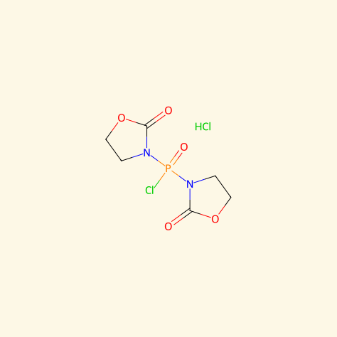 Cl.O=C1OCCN1P(=O)(Cl)N1CCOC1=O